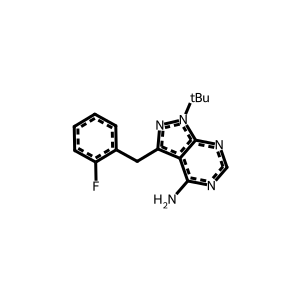 CC(C)(C)n1nc(Cc2ccccc2F)c2c(N)ncnc21